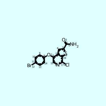 NC(=O)c1cc2c(Oc3ccc(Br)cc3)cnc(Cl)c2s1